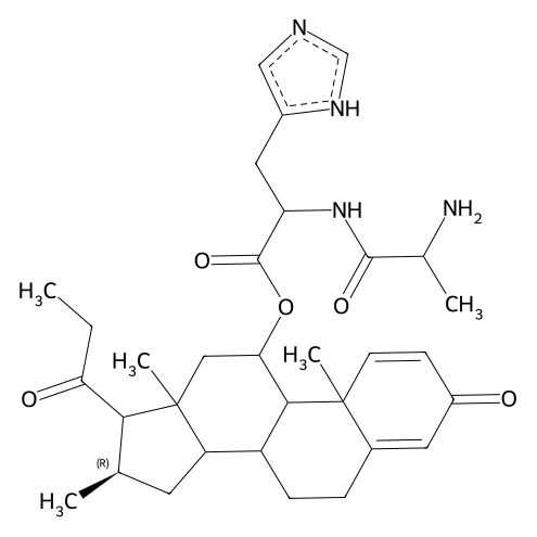 CCC(=O)C1[C@H](C)CC2C3CCC4=CC(=O)C=CC4(C)C3C(OC(=O)C(Cc3cnc[nH]3)NC(=O)C(C)N)CC21C